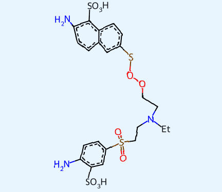 CCN(CCOOSc1ccc2c(S(=O)(=O)O)c(N)ccc2c1)CCS(=O)(=O)c1ccc(N)c(S(=O)(=O)O)c1